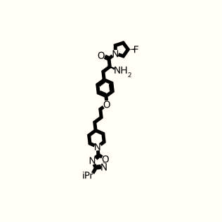 CC(C)c1noc(N2CCC(CCCOc3ccc(C[C@H](N)C(=O)N4CC[C@H](F)C4)cc3)CC2)n1